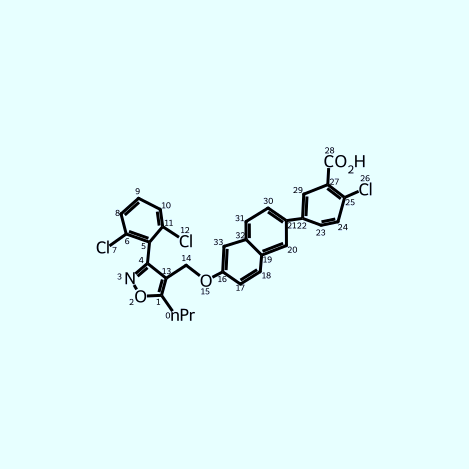 CCCc1onc(-c2c(Cl)cccc2Cl)c1COc1ccc2cc(-c3ccc(Cl)c(C(=O)O)c3)ccc2c1